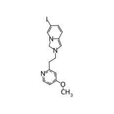 COc1ccnc(CCN2C=C3C=CC(I)=CN3C2)c1